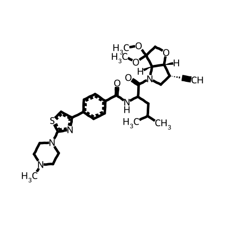 C#C[C@@H]1CN(C(=O)C(CC(C)C)NC(=O)c2ccc(-c3csc(N4CCN(C)CC4)n3)cc2)[C@H]2[C@@H]1OCC2(OC)OC